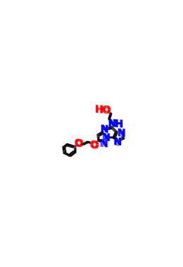 Cn1cnc2c(NCCO)nc3cc(OCCOc4ccccc4)nn3c21